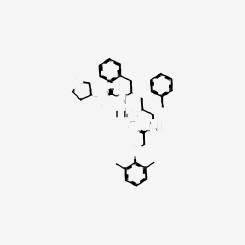 Cc1cccc(C)c1OCC(=O)N[C@@H](Cc1ccccc1)[C@@H](O)C[C@H](Cc1ccccc1)NC(=O)O[C@H]1CCSC1